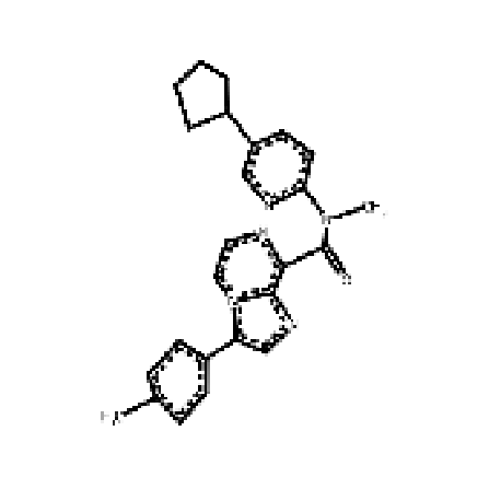 CN(C(=O)c1nccn2c(-c3ccc(C(F)(F)F)cc3)cnc12)c1ccc(C2CCCC2)cn1